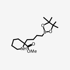 COC(=O)C1(CCCCB2OC(C)(C)C(C)(C)O2)CCCCN1